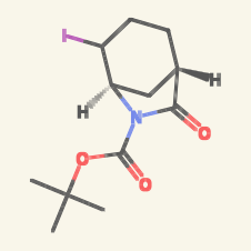 CC(C)(C)OC(=O)N1C(=O)[C@H]2CCC(I)[C@H]1C2